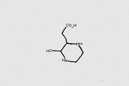 O=C(O)CC1NCCNC1O